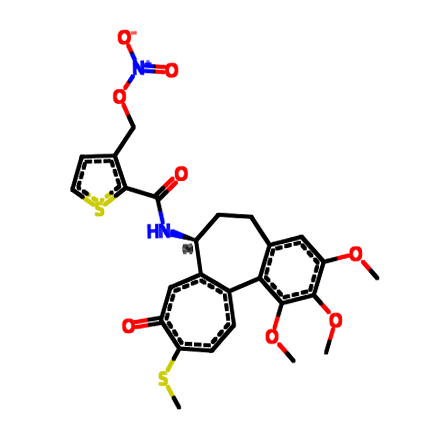 COc1cc2c(c(OC)c1OC)-c1ccc(SC)c(=O)cc1[C@@H](NC(=O)c1sccc1CO[N+](=O)[O-])CC2